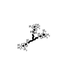 CC(C)(C)OC(=O)NCCCC(CCCNNC(=O)OC(C)(C)C)CCCNC(=O)OC(C)(C)C